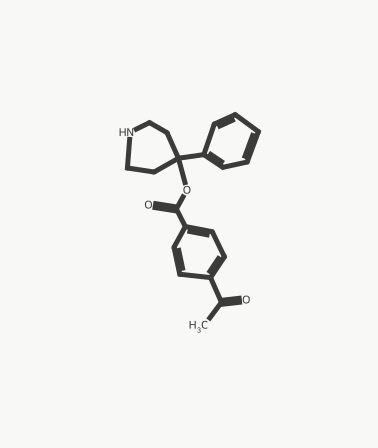 CC(=O)c1ccc(C(=O)OC2(c3ccccc3)CCNCC2)cc1